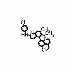 CCc1c(C)cc2nc(Nc3ccc(Cl)cc3)ccc2c1-c1ccc2c3c(ccnc13)CCO2